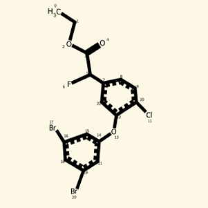 CCOC(=O)C(F)c1ccc(Cl)c(Oc2cc(Br)cc(Br)c2)c1